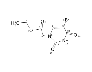 CCOC(=O)Cn1cc(Br)c(=O)[nH]c1=O